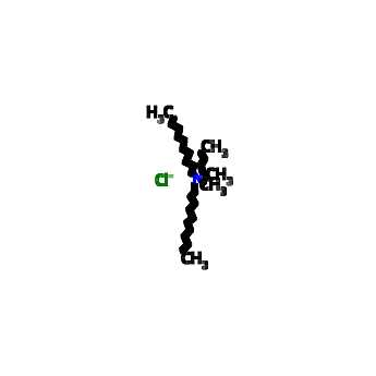 CCCCCCCCCCCC[N+](C)(CCCCCCCCCCC)C(C)CCCC.[Cl-]